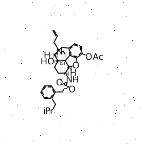 C=CCN1CC[C@]23c4c5ccc(OC(C)=O)c4O[C@H]2[C@@H](NS(=O)(=O)Cc2ccccc2CC(C)C)CC[C@@]3(O)[C@H]1C5